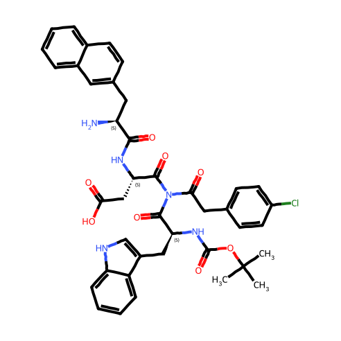 CC(C)(C)OC(=O)N[C@@H](Cc1c[nH]c2ccccc12)C(=O)N(C(=O)Cc1ccc(Cl)cc1)C(=O)[C@H](CC(=O)O)NC(=O)[C@@H](N)Cc1ccc2ccccc2c1